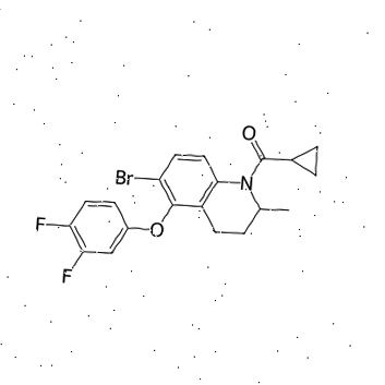 CC1CCc2c(ccc(Br)c2Oc2ccc(F)c(F)c2)N1C(=O)C1CC1